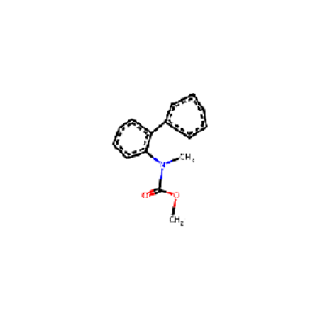 [CH2]OC(=O)N(C)c1ccccc1-c1ccccc1